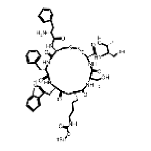 C[C@@H](O)[C@@H]1NC(=O)[C@H](CCCCNC(=O)OC(C)(C)C)CC(=O)[C@@H](Cc2c[nH]c3ccccc23)NC(=O)[C@H](Cc2ccccc2)NC(=O)[C@@H](NC(=O)[C@H](N)Cc2ccccc2)CSSC[C@@H](C(=O)N[C@H](CO)[C@@H](C)O)NC1=O